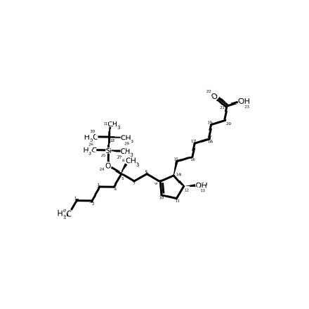 CCCCC[C@@](C)(CCC1=CC[C@H](O)[C@@H]1CCCCCCC(=O)O)O[Si](C)(C)C(C)(C)C